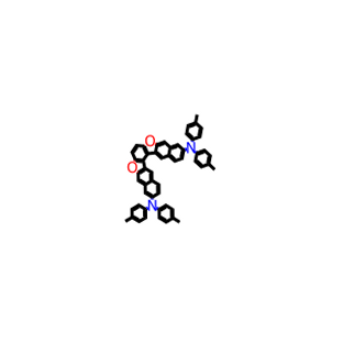 Cc1ccc(N(c2ccc(C)cc2)c2ccc3cc4c(cc3c2)oc2ccc3oc5cc6cc(N(c7ccc(C)cc7)c7ccc(C)cc7)ccc6cc5c3c24)cc1